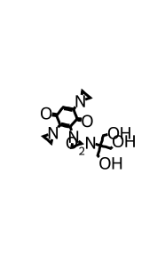 O=C1C=C(N2CC2)C(=O)C(N2CC2)=C1N1CC1.O=[N+]([O-])C(CO)(CO)CO